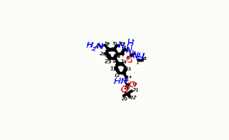 CCNC(=O)Nc1cc2c(-c3ccc(CNC(=O)OC(C)(C)C)cc3)ccc(CN)c2cn1